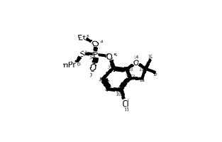 CCCSP(=O)(OCC)Oc1ccc(Cl)c2c1OC(C)(C)C2